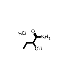 CCC(O)C(N)=O.Cl